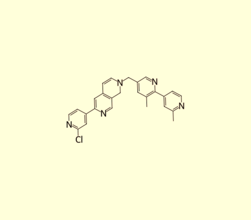 Cc1cc(-c2ncc(CN3C=Cc4cc(-c5ccnc(Cl)c5)ncc4C3)cc2C)ccn1